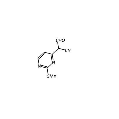 CSc1nccc(C(C#N)C=O)n1